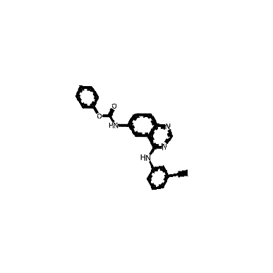 C#Cc1cccc(Nc2ncnc3ccc(NC(=O)Oc4ccccc4)cc23)c1